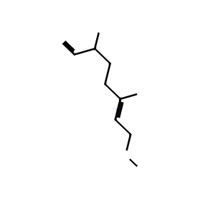 C=CC(C)CC/C(C)=C/COC